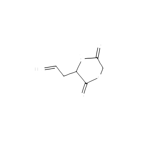 C=CCC1OC(=O)COC1=O